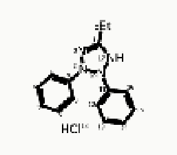 CCC1=NN(c2ccccc2)N(c2ccccc2)N1.Cl